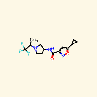 CC(N1CCC(NC(=O)c2cc(C3CC3)on2)C1)C(F)(F)F